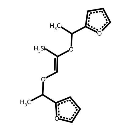 CC(OC=C([SiH3])OC(C)c1ccco1)c1ccco1